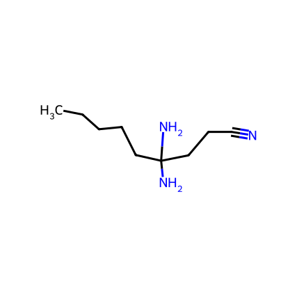 CCCCCC(N)(N)CCC#N